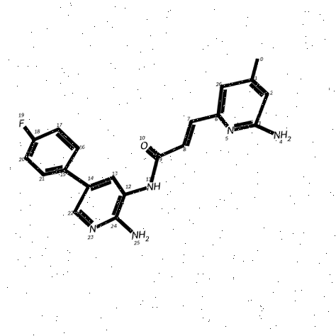 Cc1cc(N)nc(/C=C/C(=O)Nc2cc(-c3ccc(F)cc3)cnc2N)c1